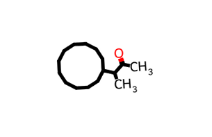 CC(=O)C(C)C1CCCCCCCCCCC1